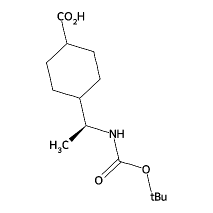 C[C@H](NC(=O)OC(C)(C)C)C1CCC(C(=O)O)CC1